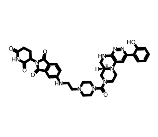 O=C1CCC(N2C(=O)c3ccc(NCCN4CCN(C(=O)N5CCN6c7cc(-c8ccccc8O)nnc7NC[C@H]6C5)CC4)cc3C2=O)C(=O)N1